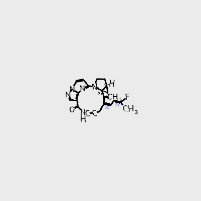 C=C1/C(=C\C=C(/C)F)CCCNC(=O)c2cnn3ccc(nc23)N2CC[C@H]3C[C@]132